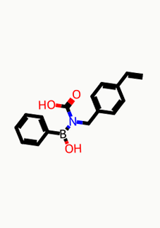 C=Cc1ccc(CN(B(O)c2ccccc2)C(=O)O)cc1